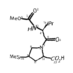 COC(=O)N[C@H](C(=O)N1CC(SC)CC1C(=O)O)C(C)C